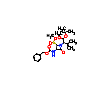 C=C(C)C(C(=O)OC(C)(C)C)N1C(=O)C(NC(=O)OCc2ccccc2)C1S(=O)OC